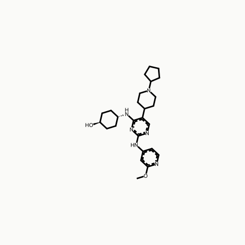 COc1cc(Nc2ncc(C3CCN(C4CCCC4)CC3)c(N[C@H]3CC[C@H](O)CC3)n2)ccn1